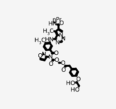 CCCNC(=O)c1cn2ncnc(Nc3cc(C(=O)N(C(=O)OCOC(=O)Cc4ccc(OC(O)CO)cc4)c4ccon4)ccc3C)c2c1C